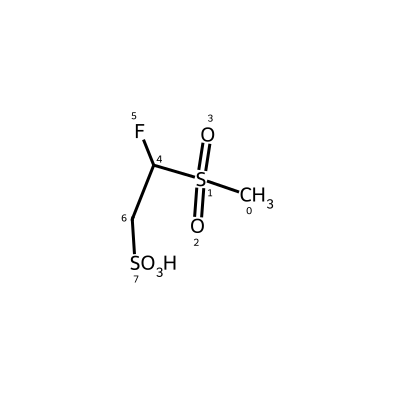 CS(=O)(=O)C(F)CS(=O)(=O)O